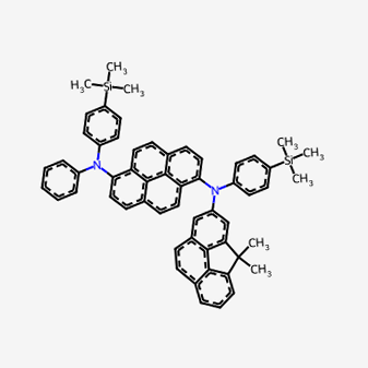 CC1(C)c2cccc3ccc4cc(N(c5ccc([Si](C)(C)C)cc5)c5ccc6ccc7c(N(c8ccccc8)c8ccc([Si](C)(C)C)cc8)ccc8ccc5c6c87)cc1c4c23